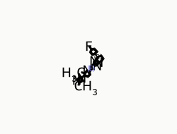 Cc1cn(-c2ccc(/C=C/c3nc4n(n3)CCC[C@@H]4c3ccc(F)cc3)nc2C)cn1